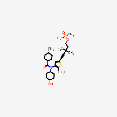 CC(C)(C#Cc1cc(N(C(=O)[C@H]2CC[C@H](C)CC2)[C@H]2CC[C@H](O)CC2)c(C(=O)O)s1)CCOP(C)(C)=O